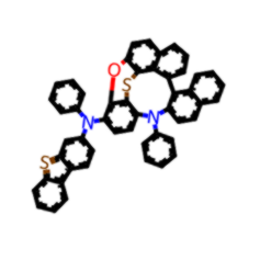 c1ccc(N(c2ccc3c(c2)sc2ccccc23)c2ccc3c4c2Oc2ccc5cccc(c5c2S4)-c2c(ccc4ccccc24)N3c2ccccc2)cc1